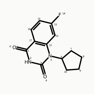 O=c1[nH]c(=O)n(C2CCCC2)c2cc(F)ccc12